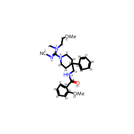 COCCN(C)/C(=N\C#N)N1CCC(CNC(=O)c2ccccc2OC)(c2ccccc2)CC1